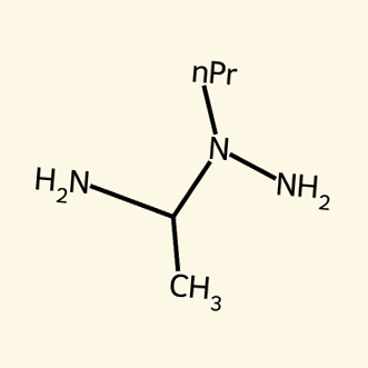 CCCN(N)C(C)N